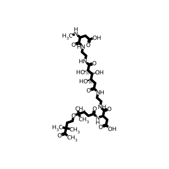 CNC(CC(=O)O)C(=O)NCCNC(=O)[C@@H](O)[C@H](O)[C@H](O)CC(=O)NCCNC(=O)C(CC(=O)O)NC(=O)CCC(C)(C)OCCC(C)(C)C(C)=O